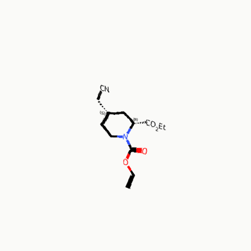 C=COC(=O)N1CC[C@H](CC#N)C[C@@H]1C(=O)OCC